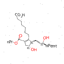 CCCCC[C@H](O)C=C[C@@H]1C(CCCCCCC(=O)O)=C(C(=O)OCCC)C[C@H]1O